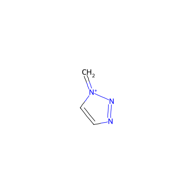 C=[N+]1C=CN=N1